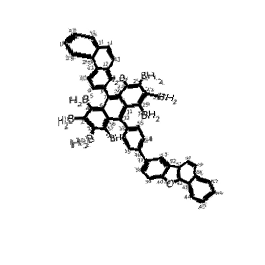 Bc1c(B)c(B)c2c(-c3ccc4c(ccc5ccccc54)c3)c3c(B)c(B)c(B)c(B)c3c(-c3ccc(-c4ccc5oc6c7ccccc7ccc6c5c4)cc3)c2c1B